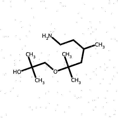 CC(CCN)CC(C)(C)OCC(C)(C)O